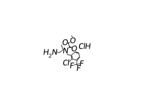 COC(=O)C(=O)N(Cc1cccc(C(F)(F)F)c1Cl)C(C)CN.Cl